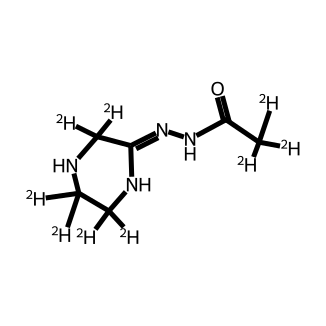 [2H]C([2H])([2H])C(=O)N/N=C1\NC([2H])([2H])C([2H])([2H])NC1([2H])[2H]